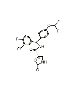 O=C1NC[C@@H](C(=O)NC(c2ccc(OC(F)F)cc2)c2ccc(F)c(Cl)c2)O1